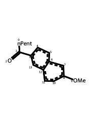 CCCCCC(=O)c1ccc2cc(OC)ccc2c1